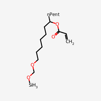 C=CC(=O)OC(CCCCC)CCCCCCOCO[SiH3]